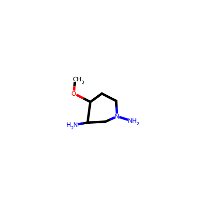 COC1CCN(N)CC1N